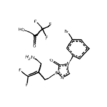 NCC(Cn1ncn(-c2cccc(Br)c2)c1=O)=C(F)F.O=C(O)C(F)(F)F